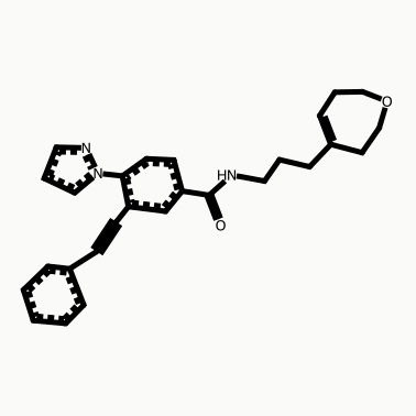 O=C(NCCCC1=CCCOCC1)c1ccc(-n2cccn2)c(C#Cc2ccccc2)c1